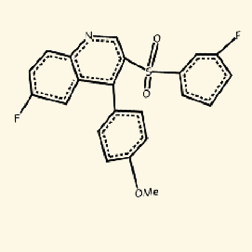 COc1ccc(-c2c(S(=O)(=O)c3cccc(F)c3)cnc3ccc(F)cc23)cc1